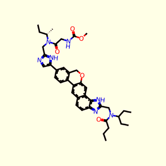 CCCC(=O)N(Cc1nc2ccc3cc4c(cc3c2[nH]1)OCc1cc(-c2cnc(CN(C(=O)CNC(=O)OC)[C@@H](C)CC)[nH]2)ccc1-4)C(CC)CC